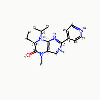 CC[C@@H]1C(=O)N(C)c2cnc(-c3ccncc3)nc2N1C(C)C